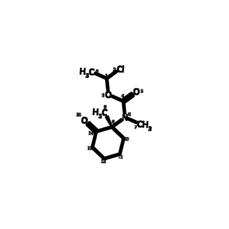 CC(Cl)OC(=O)N(C)[C@]1(C)CCCCC1=O